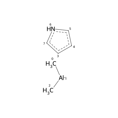 [CH3][Al][CH3].c1cc[nH]c1